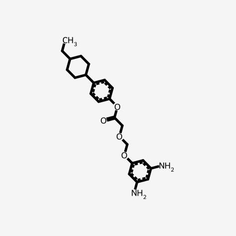 CCC1CCC(c2ccc(OC(=O)COCOc3cc(N)cc(N)c3)cc2)CC1